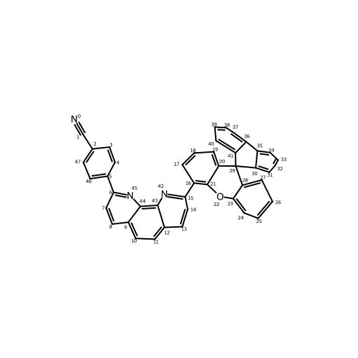 N#Cc1ccc(-c2ccc3ccc4ccc(-c5cccc6c5Oc5ccccc5C65c6ccccc6-c6ccccc65)nc4c3n2)cc1